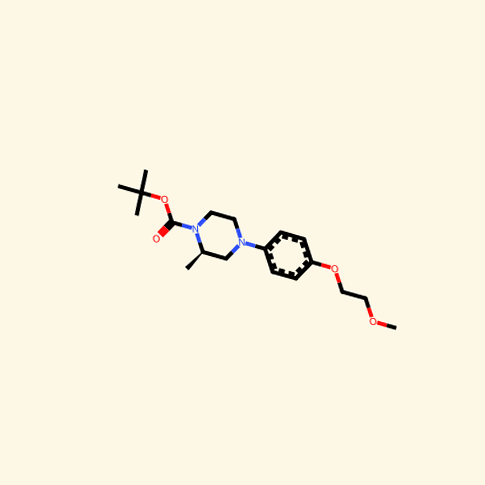 COCCOc1ccc(N2CCN(C(=O)OC(C)(C)C)[C@H](C)C2)cc1